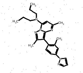 CCCN(CCC)c1cc(C)nc2c(-c3ccc(-n4cccn4)cc3C)c(C)nn12